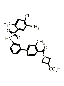 Cc1cc(S(=O)(=O)Nc2cccc(-c3ccc(C(=O)N4CC(C(=O)O)C4)c(C)c3)c2)c(C)cc1Cl